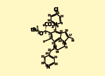 Cc1c([C@H](OC(C)(C)C)C(=O)O)c(-c2ccc(Cl)cc2)c2cc(C)n3c2c1N(Cc1ccncc1)CC3